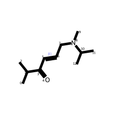 CC(C)C(=O)/C=C/CN(C)C(C)C